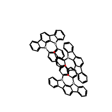 c1ccc(-n2c3ccccc3c3ccc4c5ccccc5n(-c5ccc(-c6cc(-n7c8ccccc8c8ccc9c%10ccccc%10n(-c%10ccccc%10)c9c87)cc(-n7c8ccccc8c8ccc9c%10ccccc%10n(-c%10ccccc%10)c9c87)c6)cc5)c4c32)cc1